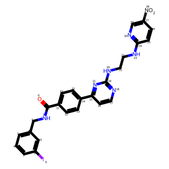 O=C(NCc1cccc(I)c1)c1ccc(-c2ccnc(NCCNc3ccc([N+](=O)[O-])cn3)n2)cc1